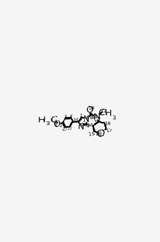 COc1ccc(-c2cn(C(=O)N(C)C3CCOCC3)cn2)cc1